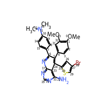 COc1ccc(-c2c(-c3ccc(N(C)C)cc3)nc3ncnc(N)c3c2-c2cc(Br)cs2)cc1OC